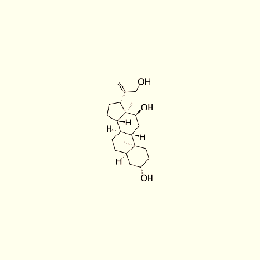 C=C(CO)[C@H]1CC[C@H]2[C@@H]3CC[C@@H]4C[C@@H](O)CC[C@]4(C)[C@H]3C[C@H](O)[C@]12C